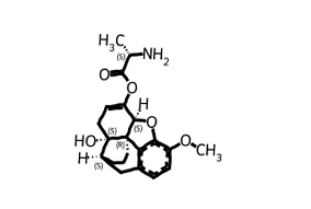 COc1ccc2c3c1O[C@@H]1C(OC(=O)[C@H](C)N)=CC[C@]4(O)[C@@H](CCC[C@@]314)C2